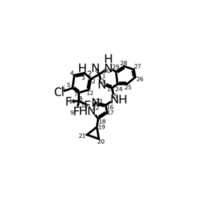 NC1(c2ccc(Cl)c(C(F)(F)F)c2)N=C(Nc2cc(C3CC3)[nH]n2)c2ccccc2N1